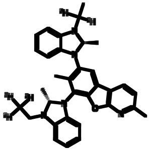 [2H]C([2H])([2H])CN1c2ccccc2N(c2c(C)c(N3c4ccccc4N(C([2H])([2H])C)[C@H]3C)cc3c2oc2nc(C)ccc23)[C@H]1C